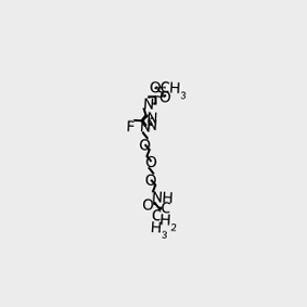 C=C(C)C(=O)NCCOCCOCCOCCn1nnc(CN2CC(S(C)(=O)=O)C2)c1CF